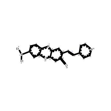 CCN(CC)c1ccc2nc3cc(/C=C/c4ccncc4)c(=O)cc-3oc2c1